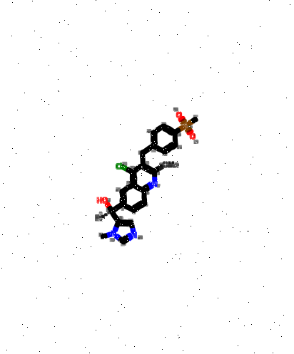 CC[C@](O)(c1ccc2nc(OC)c(Cc3ccc(S(C)(=O)=O)cc3)c(Cl)c2c1)c1cncn1C